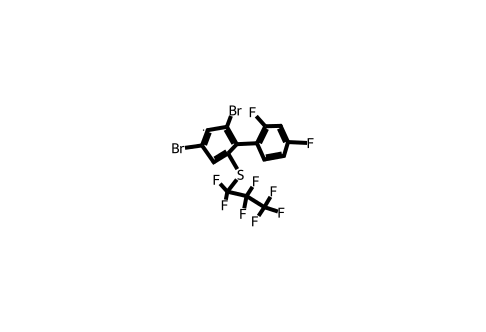 Fc1ccc(-c2c(Br)[c]c(Br)cc2SC(F)(F)C(F)(F)C(F)(F)F)c(F)c1